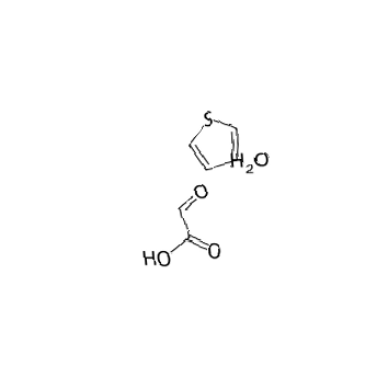 O.O=CC(=O)O.c1ccsc1